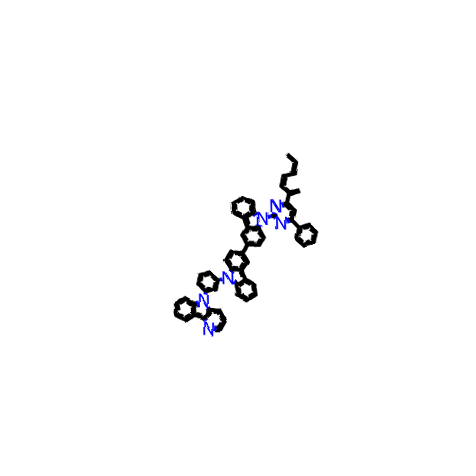 C=C(/C=C\C=C/C)c1cc(-c2ccccc2)nc(-n2c3ccccc3c3cc(-c4ccc5c(c4)c4ccccc4n5-c4cccc(-n5c6ccccc6c6ncccc65)c4)ccc32)n1